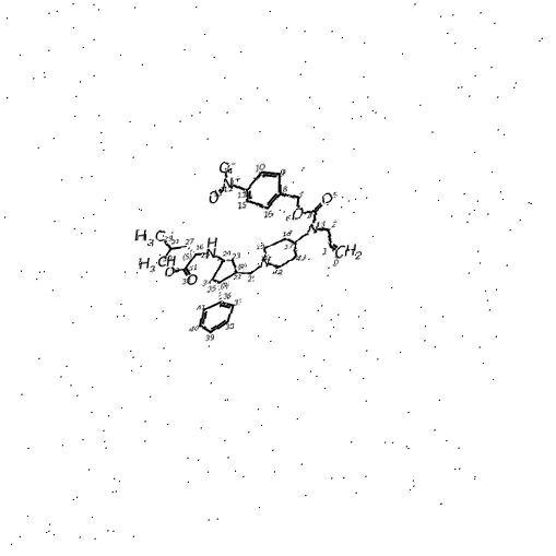 C=CCN(C(=O)OCc1ccc([N+](=O)[O-])cc1)C1CCN(C[C@@H]2CC(N[C@@H](CC(C)C)C(=O)O)C[C@H]2c2ccccc2)CC1